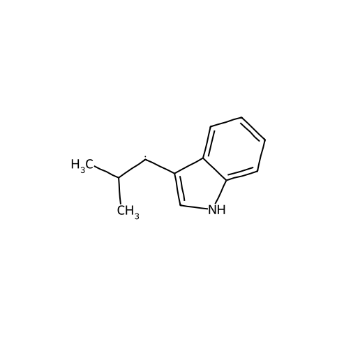 CC(C)[CH]c1c[nH]c2ccccc12